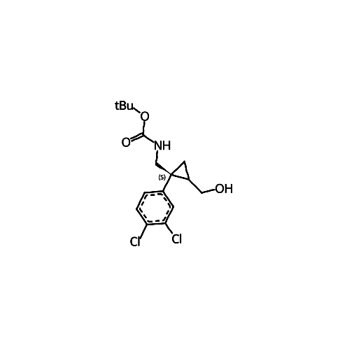 CC(C)(C)OC(=O)NC[C@@]1(c2ccc(Cl)c(Cl)c2)CC1CO